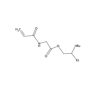 C=CC(=O)NCC(=O)OCC(CC)CCCC